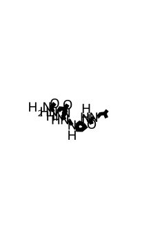 CC(C)CCNC(=O)Nc1cccc(NCNc2nc(=O)cc(NC(N)=O)[nH]2)c1